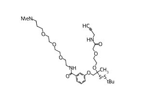 C#CCNC(=O)COCCOC(C)(COc1cccc(C(=O)NCCOCCOCCOCCCNC)c1)SSC(C)(C)C